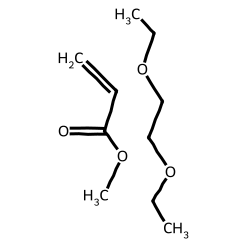 C=CC(=O)OC.CCOCCOCC